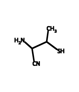 CC(S)C(N)C#N